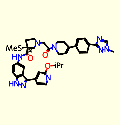 CS[C@@]1(C(=O)Nc2ccc3[nH]nc(-c4ccnc(OC(C)C)c4)c3c2)CCN(CC(=O)N2CC=C(c3ccc(-c4ncn(C)n4)cc3)CC2)C1